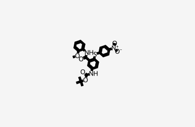 COc1ccccc1NC(=O)c1cc(NC(=O)OC(C)(C)C)ccc1Sc1ccc([N+](=O)[O-])cc1